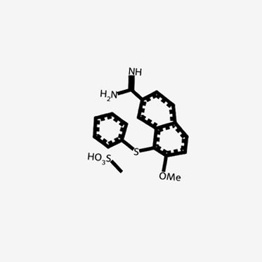 COc1ccc2ccc(C(=N)N)cc2c1Sc1ccccc1.CS(=O)(=O)O